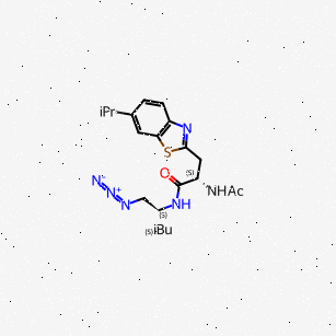 CC[C@H](C)[C@@H](CN=[N+]=[N-])NC(=O)[C@H](Cc1nc2ccc(C(C)C)cc2s1)NC(C)=O